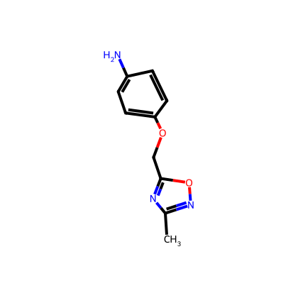 Cc1noc(COc2ccc(N)cc2)n1